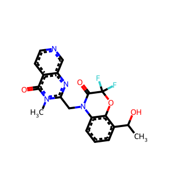 CC(O)c1cccc2c1OC(F)(F)C(=O)N2Cc1nc2cnccc2c(=O)n1C